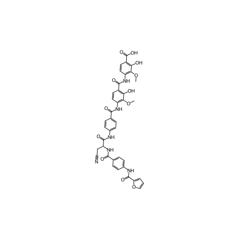 COc1c(NC(=O)c2ccc(NC(=O)c3ccc(NC(=O)C(CC#N)NC(=O)c4ccc(NC(=O)c5ccco5)cc4)cc3)c(OC)c2O)ccc(C(=O)O)c1O